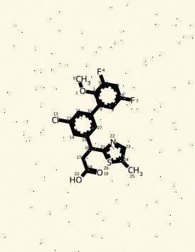 COc1c(F)cc(F)cc1-c1cc(Cl)cc(C(CC(=O)O)c2ncc(C)s2)c1